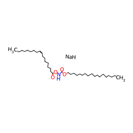 CCCCCCCC/C=C\CCCCCCCC(=O)ONC(=O)OCCCCCCCCCCCCCCCCCC.[NaH]